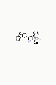 C\C=C/C=C(\C=C/C(C)C(C)C)c1ccc2sc3ccccc3c2c1